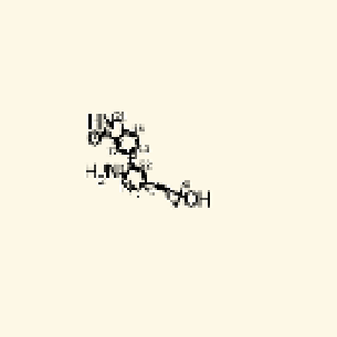 CC(C)(O)C#Cc1cnc(N)c(-c2ccc3c(c2)C(=O)NC3)c1